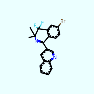 CC1(C)N=C(c2cnc3ccccc3c2)c2ccc(Br)cc2C1(F)F